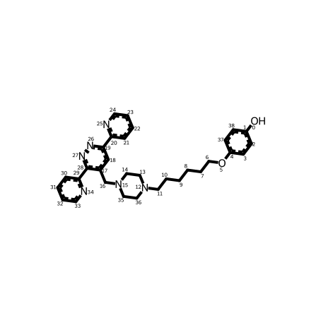 Oc1ccc(OCCCCCCN2CCN(Cc3cc(-c4ccccn4)nnc3-c3ccccn3)CC2)cc1